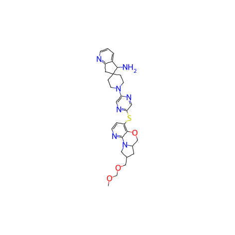 COCOCC1CC2COc3c(Sc4cnc(N5CCC6(CC5)Cc5ncccc5C6N)cn4)ccnc3N2C1